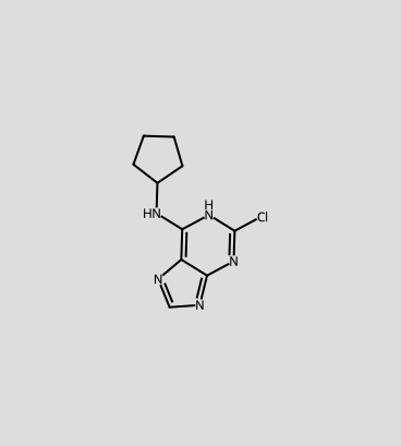 Clc1nc2ncnc-2c(NC2CCCC2)[nH]1